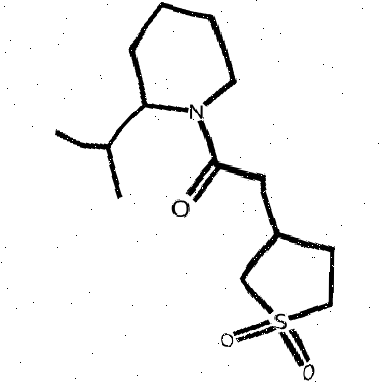 CC(C)C1CCCCN1C(=O)CC1CCS(=O)(=O)C1